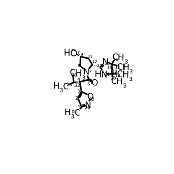 Cc1cc([C@H](C(=O)N2C[C@H](O)C[C@@H]2C2=NC(C)(C)C(C)(C)N2)C(C)C)on1